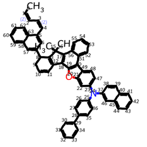 C/C=C\C=C/c1cc(C2CC=CC3=C2C(C)(C)c2c3c3oc4cc(N(c5ccc(-c6ccccc6)cc5)c5ccc6ccccc6c5)ccc4c3c3ccccc23)cc2ccccc12